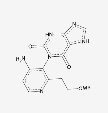 COCCc1nccc(N)c1-n1c(=O)[nH]c2nc[nH]c2c1=O